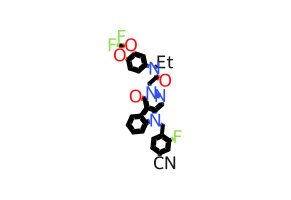 CCN(C(=O)Cn1ncc2c(c1=O)c1ccccc1n2Cc1ccc(C#N)cc1F)c1ccc2c(c1)OC(F)(F)O2